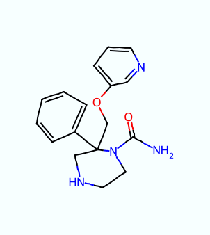 NC(=O)N1CCNCC1(COc1cccnc1)c1ccccc1